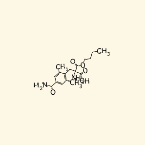 CCCCOC(=O)C(N)(Cc1c(C)cc(C(N)=O)cc1C)C(=O)O